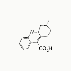 CC1CCc2c(nc3ccccc3c2C(=O)O)C1